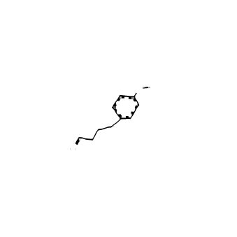 COc1ccc([CH]CCC=O)cc1